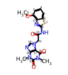 COc1cccc2sc(NC(=O)Cn3cnc4c3c(=O)n(C)c(=O)n4C)nc12